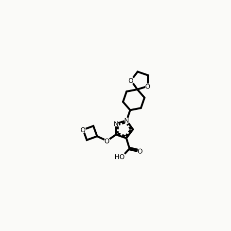 O=C(O)c1cn(C2CCC3(CC2)OCCO3)nc1OC1COC1